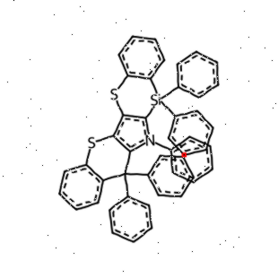 c1ccc(-n2c3c(c4c2[Si](c2ccccc2)(c2ccccc2)c2ccccc2S4)Sc2ccccc2C3(c2ccccc2)c2ccccc2)cc1